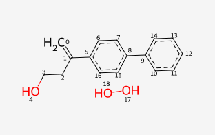 C=C(CCO)c1ccc(-c2ccccc2)cc1.OO